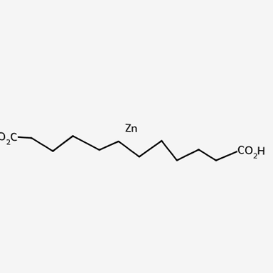 O=C(O)CCCCCCCCCCC(=O)O.[Zn]